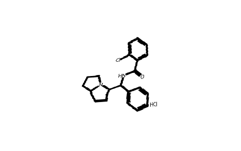 Cl.O=C(NC(c1ccccc1)C1CCC2CCCN21)c1ccccc1Cl